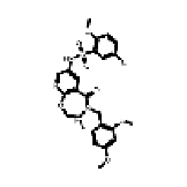 COc1ccc(CN2C(=O)c3cc(NS(=O)(=O)c4cc(Cl)ccc4OC)cnc3OC[C@@H]2C)c(OC)c1